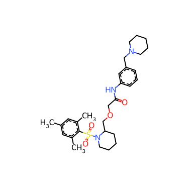 Cc1cc(C)c(S(=O)(=O)N2CCCCC2COCC(=O)Nc2cccc(CN3CCCCC3)c2)c(C)c1